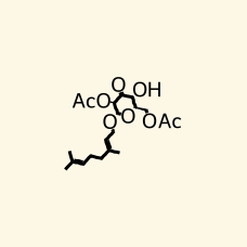 CC(=O)OC[C@H]1O[C@@H](OC/C=C(\C)CCC=C(C)C)[C@H](OC(C)=O)C(=O)[C@@H]1O